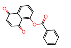 O=C(Oc1cccc2c1C(=O)C=CC2=O)c1ccccc1